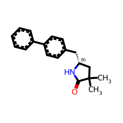 CC1(C)C[C@@H](Cc2ccc(-c3ccccc3)cc2)NC1=O